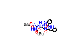 CC(C)(C)OC(=O)/N=C(/NCCCNC(=O)[C@H](Cc1ccccc1)NC(=O)c1ccccc1N)NC(=O)OC(C)(C)C